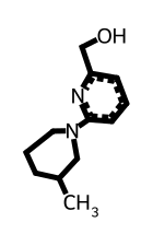 CC1CCCN(c2cccc(CO)n2)C1